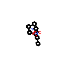 O=C1c2cccc(-n3c4c(-c5ccccc5)cccc4c4cccc(-c5ccccc5)c43)c2C(=O)N1c1ccc(-c2ccccc2)cc1